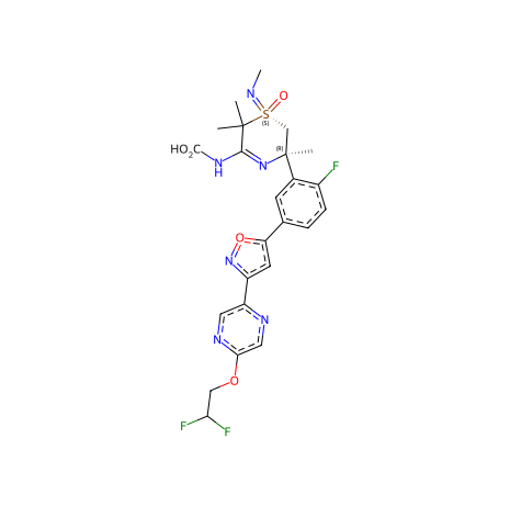 CN=[S@]1(=O)C[C@@](C)(c2cc(-c3cc(-c4cnc(OCC(F)F)cn4)no3)ccc2F)N=C(NC(=O)O)C1(C)C